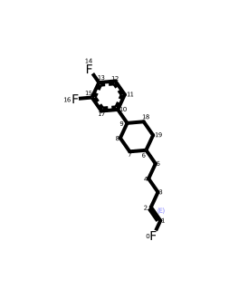 F/C=C/CCCC1CCC(c2ccc(F)c(F)c2)CC1